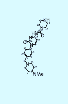 CNC1CCN(Cc2ccc(-n3ccc(NC(=O)N4CCNCC4)nc3=O)cc2)CC1